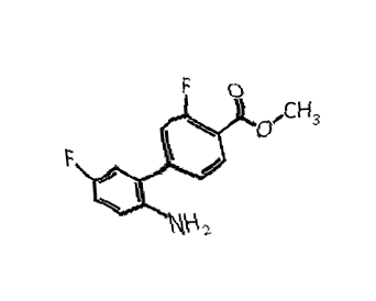 COC(=O)c1ccc(-c2cc(F)ccc2N)cc1F